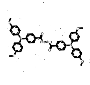 COc1ccc(N(c2ccc(OC)cc2)c2ccc(C(=O)NNC(=O)c3ccc(N(c4ccc(OC)cc4)c4ccc(OC)cc4)cc3)cc2)cc1